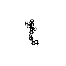 O=C1CCN(N2Cc3cc(CN4CC=C(c5cccc6c(F)cccc56)CC4)ccc3C2=O)C(=O)N1